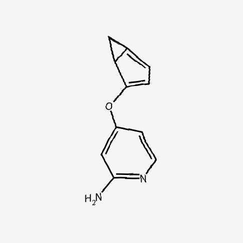 Nc1cc(OC2=CC=C3CC32)ccn1